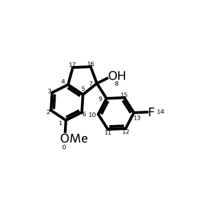 COc1ccc2c(c1)C(O)(c1cccc(F)c1)CC2